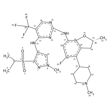 CC(C)S(=O)(=O)c1nn(C)cc1Nc1nc(Nc2cc(F)c(C3CCN(C)CC3)c3c2O[C@H](C)C3)ncc1C(F)(F)F